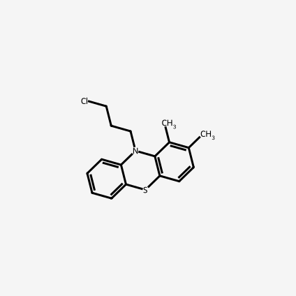 Cc1ccc2c(c1C)N(CCCCl)c1ccccc1S2